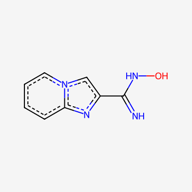 N=C(NO)c1cn2ccccc2n1